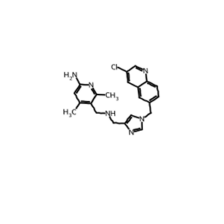 Cc1cc(N)nc(C)c1CNCc1cn(Cc2ccc3ncc(Cl)cc3c2)cn1